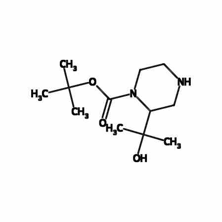 CC(C)(C)OC(=O)N1CCNCC1C(C)(C)O